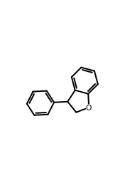 c1ccc(C2COc3ccccc32)cc1